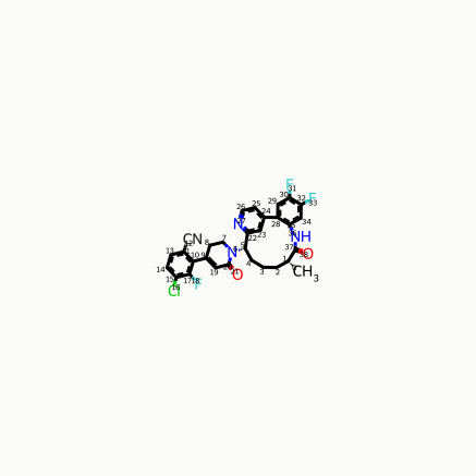 C[C@@H]1CCC[C@H](N2CCC(c3c(C#N)ccc(Cl)c3F)=CC2=O)c2cc(ccn2)-c2cc(F)c(F)cc2NC1=O